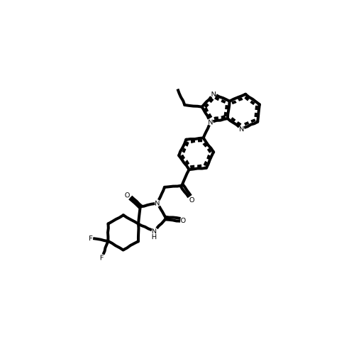 CCc1nc2cccnc2n1-c1ccc(C(=O)CN2C(=O)NC3(CCC(F)(F)CC3)C2=O)cc1